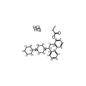 CCC(=O)Oc1ccccc1CC(c1ccccc1)N1CCN(C2CCCCC2)CC1.Cl.Cl